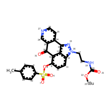 Cc1ccc(S(=O)(=O)Oc2ccc3c4c(nn3CCNC(=O)OC(C)(C)C)-c3ccncc3C(=O)c24)cc1